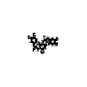 O=C1CC(=O)N(CC(F)(F)Cc2ccc(F)c(F)c2)C(=O)N1CC(F)(F)Cc1ccc(F)c(F)c1